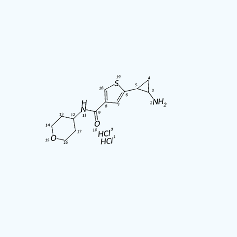 Cl.Cl.NC1CC1c1cc(C(=O)NC2CCOCC2)cs1